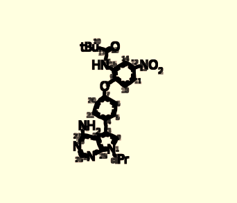 CC(C)n1cc(-c2ccc(Oc3ccc([N+](=O)[O-])cc3NC(=O)C(C)(C)C)cc2)c2c(N)ncnc21